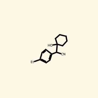 CCc1ccc(C(C#N)C2(O)CCCCC2)cc1